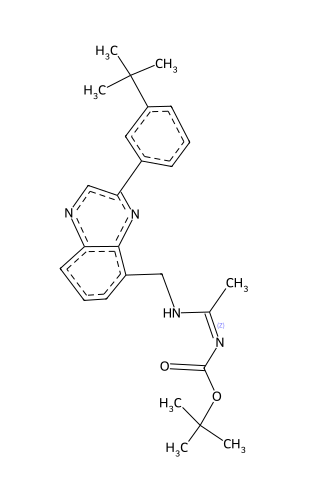 C/C(=N/C(=O)OC(C)(C)C)NCc1cccc2ncc(-c3cccc(C(C)(C)C)c3)nc12